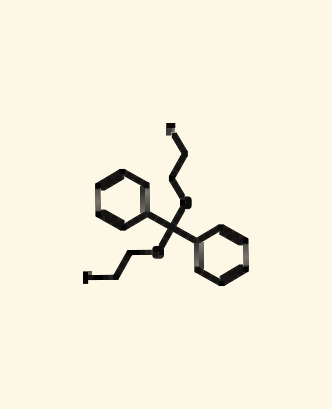 FCCOC(OCCF)(c1ccccc1)c1ccccc1